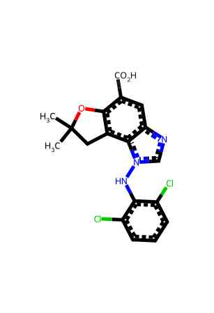 CC1(C)Cc2c(c(C(=O)O)cc3ncn(Nc4c(Cl)cccc4Cl)c23)O1